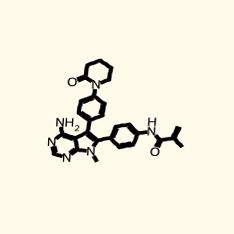 C=C(C)C(=O)Nc1ccc(-c2c(-c3ccc(N4CCCCC4=O)cc3)c3c(N)ncnc3n2C)cc1